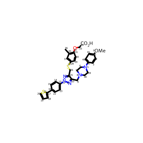 COc1ccc(N2CCN(Cc3nn(-c4ccc(-c5cccs5)cc4)nc3CSc3ccc(OCC(=O)O)c(C)c3)CC2)cc1